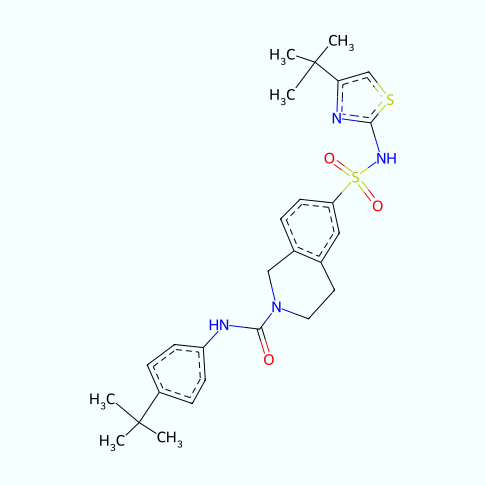 CC(C)(C)c1ccc(NC(=O)N2CCc3cc(S(=O)(=O)Nc4nc(C(C)(C)C)cs4)ccc3C2)cc1